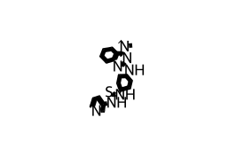 CN(C)c1nc(N[C@H]2CC[C@@H](NC(=S)Nc3cccnc3)CC2)nc2c1CCCC2